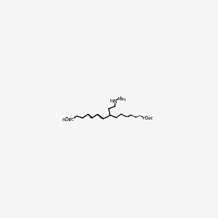 CCCCCCCCCCCCCCCCC(CCCCCCCCCCCCCCCC)CCNCCCC